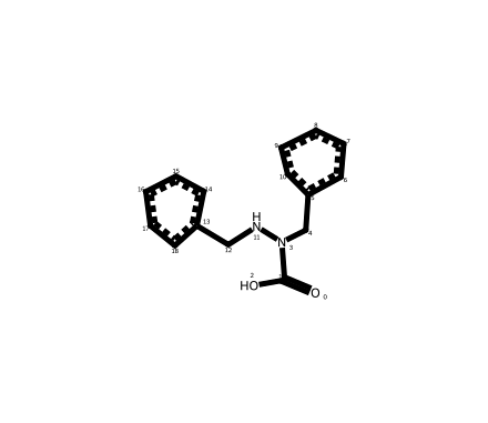 O=C(O)N(Cc1ccccc1)NCc1ccccc1